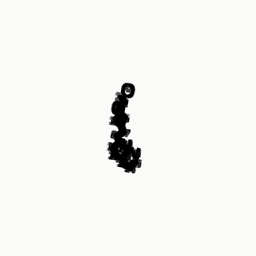 O=CCOC1CC(CCc2ccc3cccnc3n2)C1